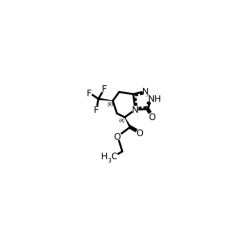 CCOC(=O)[C@H]1C[C@@H](C(F)(F)F)Cc2n[nH]c(=O)n21